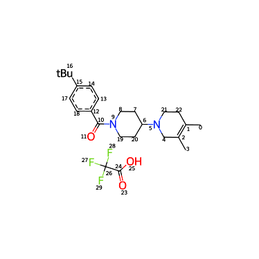 CC1=C(C)CN(C2CCN(C(=O)c3ccc(C(C)(C)C)cc3)CC2)CC1.O=C(O)C(F)(F)F